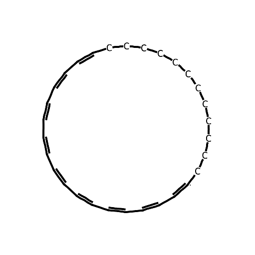 [C]1=C/C=C\C=C/C=C\C=C/C=C\C=C/C=C\C=C/CCCCCCCCCCCC\1